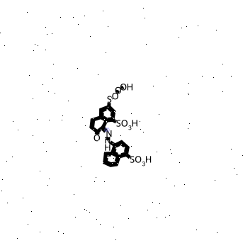 O=C1C=Cc2cc(SOOO)cc(S(=O)(=O)O)c2/C1=N/Nc1ccc(S(=O)(=O)O)c2ccccc12